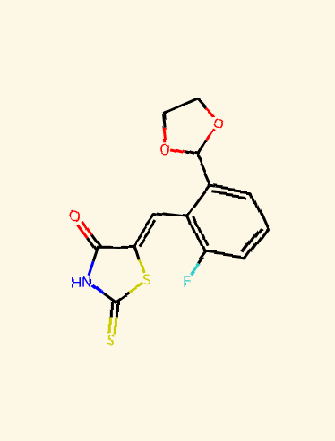 O=C1NC(=S)SC1=Cc1c(F)cccc1C1OCCO1